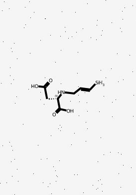 O=C(O)C[C@H](NCC=C[SiH3])C(=O)O